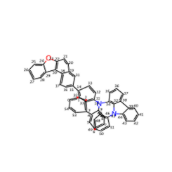 c1ccc(-c2ccccc2N(c2ccc(-c3ccc4c(ccc5oc6ccccc6c54)c3)cc2)c2cccc3c4ccccc4n(-c4ccccc4)c23)cc1